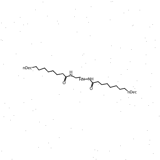 CCCCCCCCCCCCCCCCCC(=O)NCCNNC(=O)CCCCCCCCCCCCCCCCC